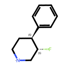 F[C@@H]1C[N]CC[C@H]1c1ccccc1